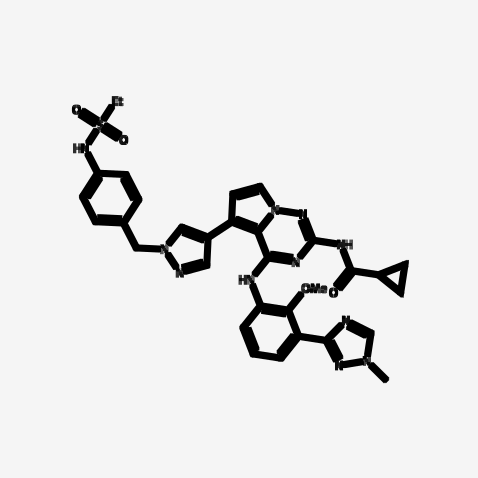 CCS(=O)(=O)Nc1ccc(Cn2cc(-c3ccn4nc(NC(=O)C5CC5)nc(Nc5cccc(-c6ncn(C)n6)c5OC)c34)cn2)cc1